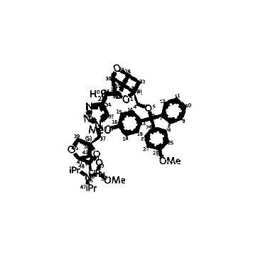 B[C@@H]1O[C@@]2(COC(c3ccccc3)(c3ccc(OC)cc3)c3ccc(OC)cc3)CC3OC1C32OCc1cn(C[C@]23COC(C2OP(OC)N(C(C)C)C(C)C)[C@H](C)O3)nn1